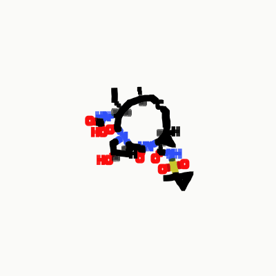 CC[C@@H]1C[C@H](C)CCC=C[C@@H]2C[C@@]2(C(=O)NS(=O)(=O)C2(C)CC2)NC(=O)[C@@H]2C[C@@H](O)CN2C(=O)[C@H]1NC(=O)O